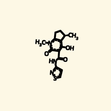 C[C@@H]1CCc2c1c(O)c(C(=O)Nc1ccsn1)c(=O)n2C